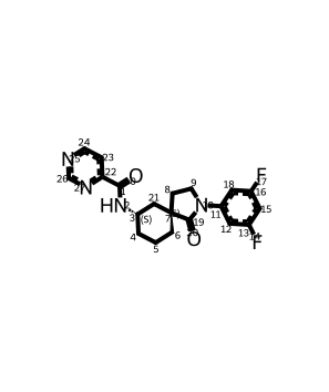 O=C(N[C@H]1CCC[C@]2(CCN(c3cc(F)cc(F)c3)C2=O)C1)c1ccncn1